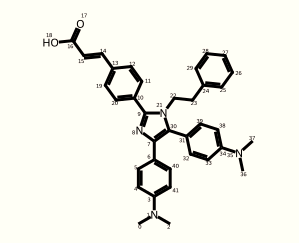 CN(C)c1ccc(-c2nc(-c3ccc(/C=C/C(=O)O)cc3)n(CCc3ccccc3)c2-c2ccc(N(C)C)cc2)cc1